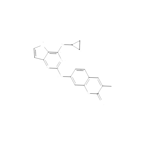 Cc1cc2ccc(Nc3nc(NC4CC4)c4occc4n3)cc2[nH]c1=O